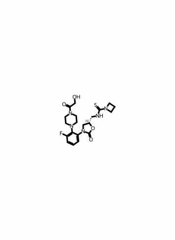 O=C(CO)N1CCN(c2c(F)cccc2N2C[C@H](CNC(=S)N3CCC3)OC2=O)CC1